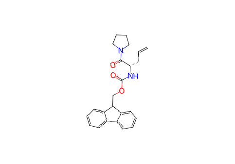 C=CC[C@H](NC(=O)OCC1c2ccccc2-c2ccccc21)C(=O)N1CCCC1